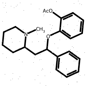 CC(=O)Oc1ccccc1OC(CC1CCCCN1C)c1ccccc1